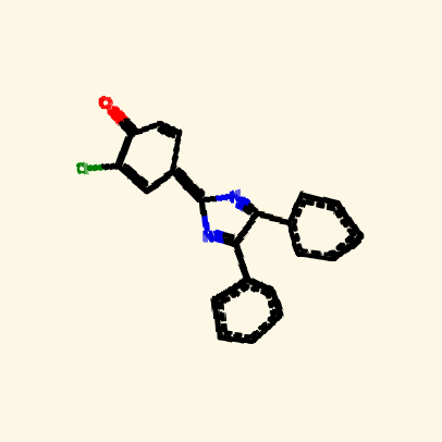 O=C1C=CC(=C2N=C(c3ccccc3)C(c3ccccc3)=N2)C=C1Cl